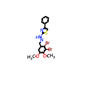 COc1cc(C=NNc2nc(-c3ccccc3)cs2)c(Br)c(Br)c1OC